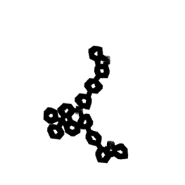 c1ccc(C2(c3ccccc3)c3ccccc3-c3c(N(c4ccc(-c5ccc(-c6ccc7sc8ccccc8c7c6)cc5)cc4)c4ccc(-c5ccc(-c6cccc7c6oc6ccccc67)cc5)cc4)cccc32)cc1